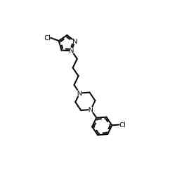 Clc1cccc(N2CCN(CCCCn3cc(Cl)cn3)CC2)c1